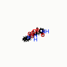 COC(=O)[C@H](C[C@@H]1CCCNC1=O)NC(=O)OC(=O)N1CCC2(CCC2)C1